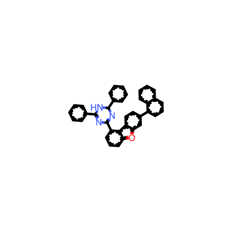 c1ccc(C2=NC(c3cccc4oc5cc(-c6cccc7ccccc67)ccc5c34)=NC(c3ccccc3)N2)cc1